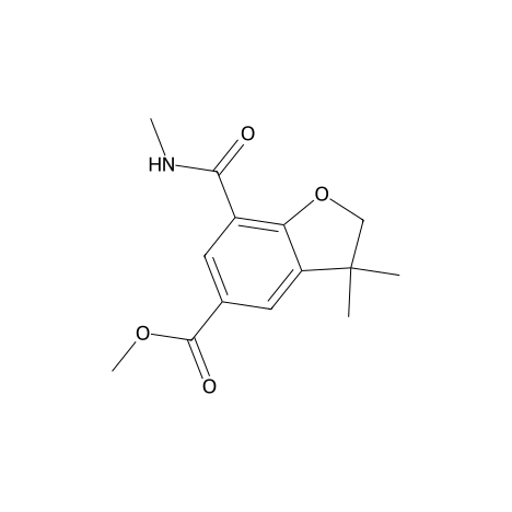 CNC(=O)c1cc(C(=O)OC)cc2c1OCC2(C)C